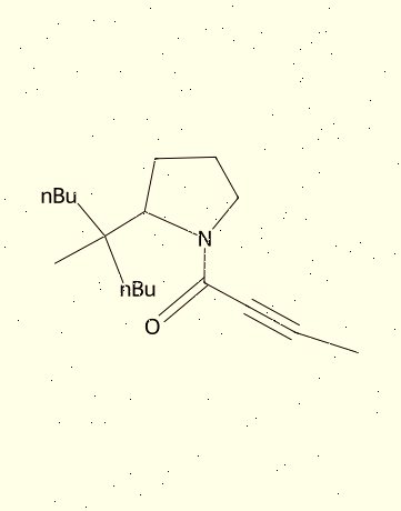 CC#CC(=O)N1CCCC1C(C)(CCCC)CCCC